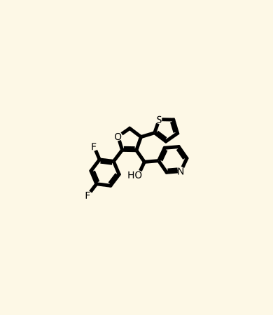 OC(C1=C(c2ccc(F)cc2F)OCC1c1cccs1)c1cccnc1